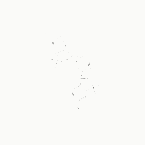 CC(C)(C)c1cc(O)ccc1C(C)(C)c1cccc(C(C)(C)c2ccc(O)cc2C(C)(C)C)c1